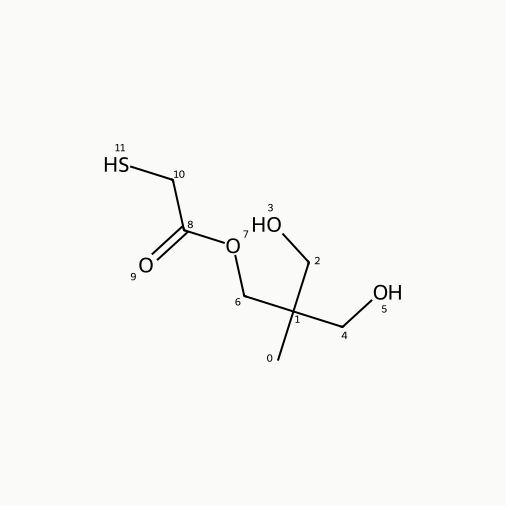 CC(CO)(CO)COC(=O)CS